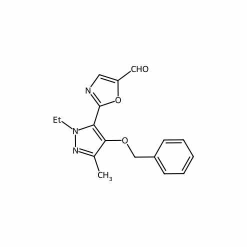 CCn1nc(C)c(OCc2ccccc2)c1-c1ncc(C=O)o1